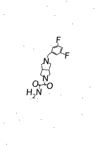 NC(=O)C(=O)N1CC2CN(Cc3cc(F)cc(F)c3)CC2C1